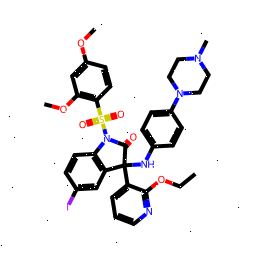 CCOc1ncccc1C1(Nc2ccc(N3CCN(C)CC3)cc2)C(=O)N(S(=O)(=O)c2ccc(OC)cc2OC)c2ccc(I)cc21